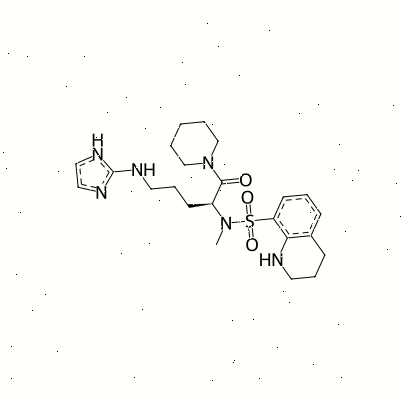 CN([C@@H](CCCNc1ncc[nH]1)C(=O)N1CCCCC1)S(=O)(=O)c1cccc2c1NCCC2